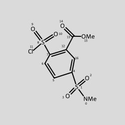 CNS(=O)(=O)c1ccc(S(=O)(=O)Cl)c(C(=O)OC)c1